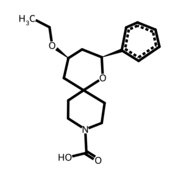 CCO[C@H]1C[C@@H](c2ccccc2)OC2(CCN(C(=O)O)CC2)C1